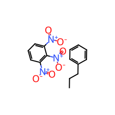 CCCc1ccccc1.O=[N+]([O-])c1cccc([N+](=O)[O-])c1[N+](=O)[O-]